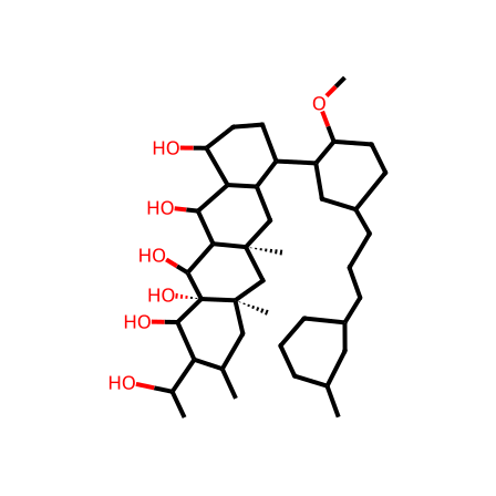 COC1CCC(CCCC2CCCC(C)C2)CC1C1CCC(O)C2C(O)C3C(O)[C@]4(O)C(O)C(C(C)O)C(C)C[C@]4(C)C[C@]3(C)CC12